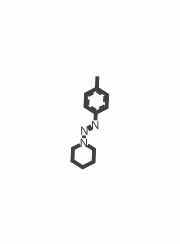 Cc1ccc(N=NN2CCCCC2)cc1